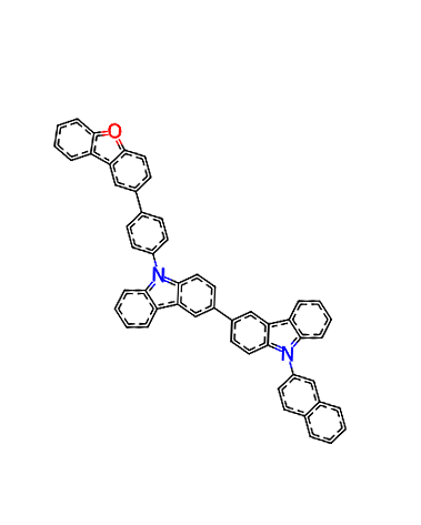 c1ccc2cc(-n3c4ccccc4c4cc(-c5ccc6c(c5)c5ccccc5n6-c5ccc(-c6ccc7oc8ccccc8c7c6)cc5)ccc43)ccc2c1